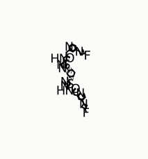 O=C(Cc1cc(N2CC(F)C2)ccn1)Nc1nnc([C@H]2CCC[C@H](c3nnc(NC(=O)Cc4cc(N5CC(F)C5)ccn4)s3)C2)s1